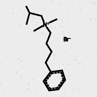 CC(C)C[N+](C)(C)CCCCc1ccccc1.[Br-]